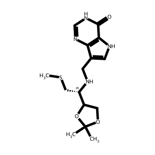 CSC[C@H](NCc1c[nH]c2c(=O)[nH]cnc12)C1COC(C)(C)O1